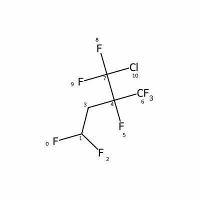 FC(F)CC(F)(C(F)(F)F)C(F)(F)Cl